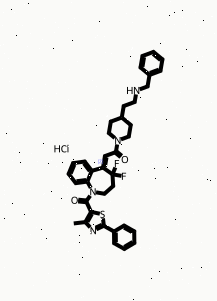 Cc1nc(-c2ccccc2)sc1C(=O)N1CCC(F)(F)/C(=C\C(=O)N2CCC(CCNCc3ccccc3)CC2)c2ccccc21.Cl